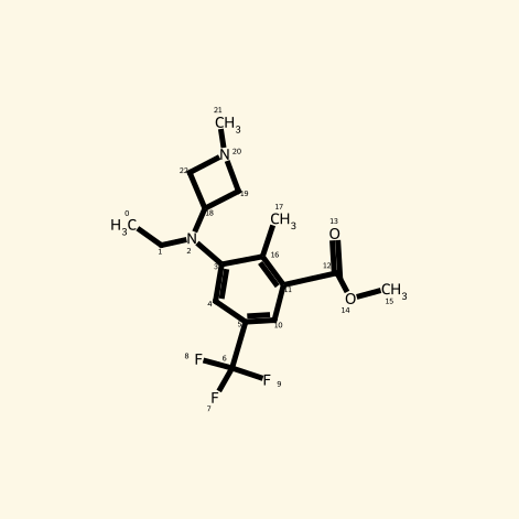 CCN(c1cc(C(F)(F)F)cc(C(=O)OC)c1C)C1CN(C)C1